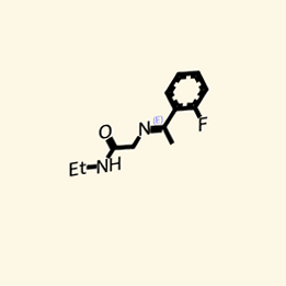 CCNC(=O)C/N=C(\C)c1ccccc1F